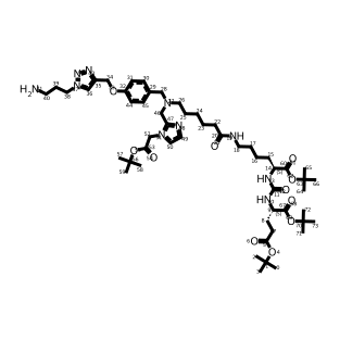 CC(C)(C)OC(=O)CC[C@H](NC(=O)N[C@@H](CCCCNC(=O)CCCCCN(Cc1ccc(OCc2cn(CCCN)nn2)cc1)Cc1nccn1CC(=O)OC(C)(C)C)C(=O)OC(C)(C)C)C(=O)OC(C)(C)C